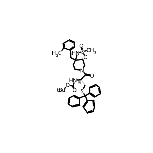 Cc1ccccc1CC1(NS(C)(=O)=O)CCN(C(=O)[C@H](CSC(c2ccccc2)(c2ccccc2)c2ccccc2)NC(=O)OC(C)(C)C)CC1